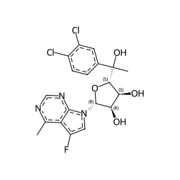 Cc1ncnc2c1c(F)cn2[C@@H]1O[C@H](C(C)(O)c2ccc(Cl)c(Cl)c2)[C@@H](O)[C@H]1O